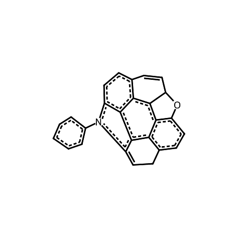 C1=CC2Oc3ccc4c5c3c2c2c1ccc1c2c5c(n1-c1ccccc1)=CC4